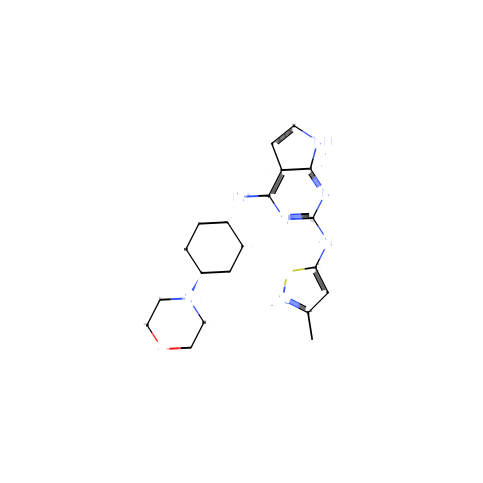 Cc1cc(Nc2nc(N[C@H]3CC[C@H](N4CCOCC4)CC3)c3cc[nH]c3n2)sn1